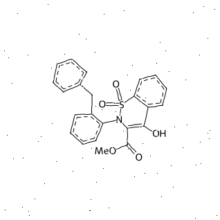 COC(=O)C1=C(O)c2ccccc2S(=O)(=O)N1c1ccccc1Cc1ccccc1